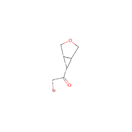 O=C(CBr)C1C2COCC21